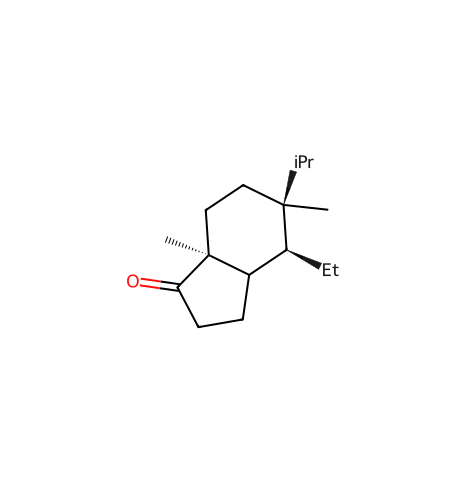 CC[C@H]1C2CCC(=O)[C@@]2(C)CC[C@@]1(C)C(C)C